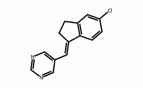 Clc1ccc2c(c1)CCC2=Cc1cncnc1